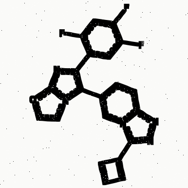 Fc1cc(F)c(-c2nc3occn3c2-c2ccc3nnc(C4=CC=C4)n3c2)cc1F